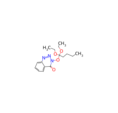 CCCCC(OCC)(OCC)On1nnc2ccccc2c1=O